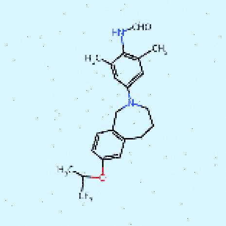 Cc1cc(N2CCCc3cc(OC(C)C(F)(F)F)ccc3C2)cc(C)c1NC=O